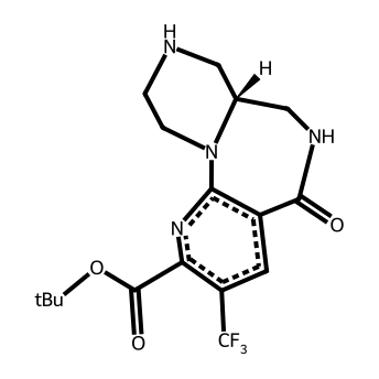 CC(C)(C)OC(=O)c1nc2c(cc1C(F)(F)F)C(=O)NC[C@H]1CNCCN21